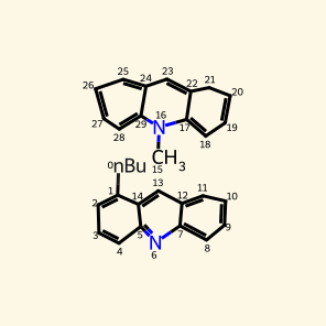 CCCCc1cccc2nc3ccccc3cc12.CN1C2=CC=CCC2=Cc2ccccc21